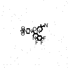 CC1(C#N)CCN(c2c(C(=O)N3CCN(S(C)(=O)=O)CC3)cnc3c(F)c(F)c(F)cc23)CC1